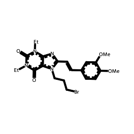 CCn1c(=O)c2c(nc(C=Cc3ccc(OC)c(OC)c3)n2CCCBr)n(CC)c1=O